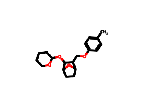 Cc1ccc(OCC2C3CCC(O3)C2OC2CCCCO2)cc1